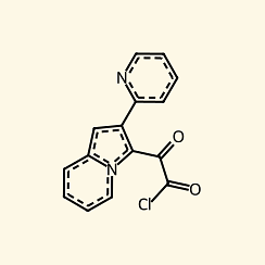 O=C(Cl)C(=O)c1c(-c2ccccn2)cc2ccccn12